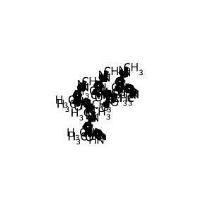 Cc1ncc(-c2ccc3c(c2)N(c2ccc4c(C)nn(C)c4n2)C(=O)C3(C)C)cn1.Cc1ncc(-c2ccc3c(c2)N(c2ccc4c(c2)N(C2COC2)C(=O)C4(C)C)C(=O)C3(C)C)cn1.Cc1ncc(-c2ccc3c(c2)N(c2ccc4cc[nH]c4n2)C(=O)C3(C)C)cn1.Cc1ncc(-c2ccc3c(c2)N(c2ccc4cnn(C)c4c2)C(=O)C3(C)C)cn1